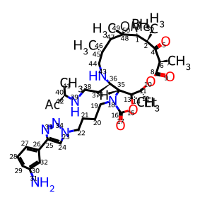 B[C@@H]1[C@@H](C)C(=O)[C@@H](C)C(=O)O[C@H](CC)[C@@]2(C)OC(=O)N(CCCCn3cc(-c4cccc(N)c4)nn3)[C@@H]2[C@@H](CCN[C@H](C)C(C)=O)NC[C@H](C)C[C@@]1(C)OC